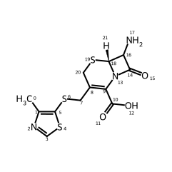 Cc1ncsc1SCC1=C(C(=O)O)N2C(=O)C(N)[C@H]2SC1